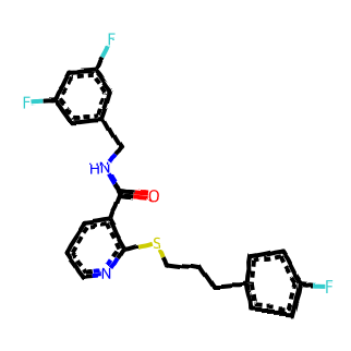 O=C(NCc1cc(F)cc(F)c1)c1cccnc1SCCCc1ccc(F)cc1